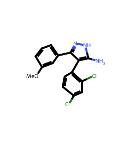 COc1cccc(-c2n[nH]c(N)c2-c2ccc(Cl)cc2Cl)c1